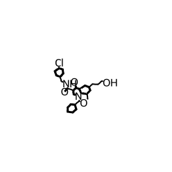 O=C(NCc1ccc(Cl)cc1)c1cn2c3c(cc(CCCO)cc3c1=O)COC2c1ccccc1